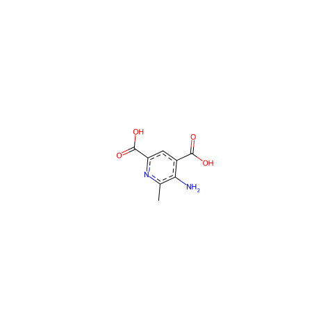 Cc1nc(C(=O)O)cc(C(=O)O)c1N